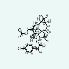 CC(=O)OCC1=C[C@@H]2C(O)[C@]3(C=C(C)[C@H](OC(=O)N(C)c4ccc(Cl)cc4)[C@@]3(O)[C@@H]1O)[C@H](C)C[C@@H]1[C@H]2C1(C)C